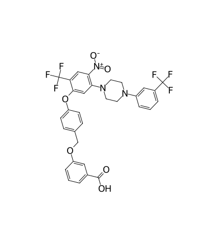 O=C(O)c1cccc(OCc2ccc(Oc3cc(N4CCN(c5cccc(C(F)(F)F)c5)CC4)c([N+](=O)[O-])cc3C(F)(F)F)cc2)c1